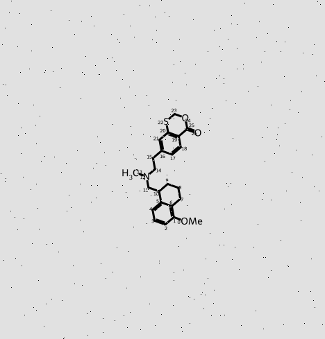 COc1cccc2c1CCCC2CN(C)CCc1ccc2c(c1)SCOC2=O